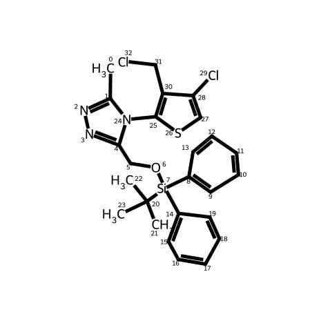 Cc1nnc(CO[Si](c2ccccc2)(c2ccccc2)C(C)(C)C)n1-c1scc(Cl)c1CCl